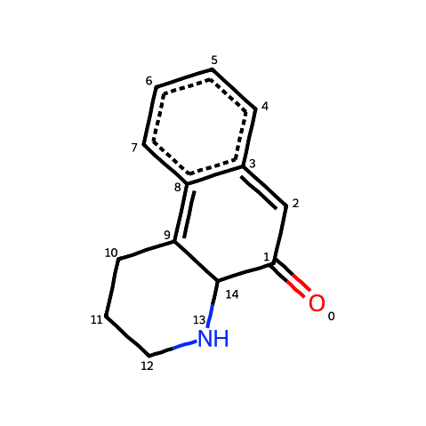 O=C1C=c2ccccc2=C2CCCNC12